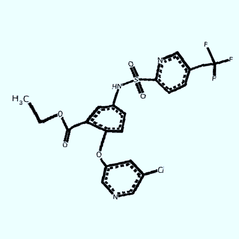 CCOC(=O)c1cc(NS(=O)(=O)c2ccc(C(F)(F)F)cn2)ccc1Oc1cncc(Cl)c1